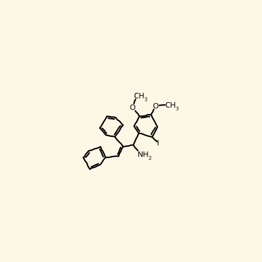 COc1cc(I)c(C(N)C(=Cc2ccccc2)c2ccccc2)cc1OC